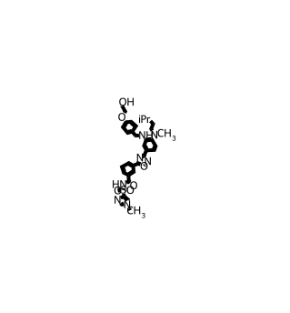 CC(C)CCN(C)c1ccc(-c2noc(-c3cccc(C(=O)NS(=O)(=O)c4cn(C)cn4)c3)n2)cc1NCc1ccc(OCCO)cc1